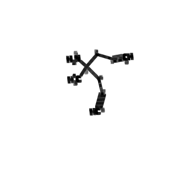 C#CCC(C)(N)CC#C